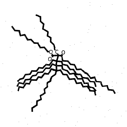 CCCCCCCCCCCCCCCCCC(=O)C(CCCCCCCCCCCC)(C(=O)OCCCCCCCCCCCC)C(CCCCCCCCCCCC)(CCCCCCCCCCCC)C(CCCCCCCCCCCC)(CCCCCCCCCCCC)C(CCCCCCCCCCCC)(CCCCCCCCCCCC)CCCCCCCCCCCCC